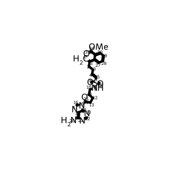 C=C(CC/C=C/S(=O)(=O)NCC1CCC(n2cnc3c(N)ncnc32)O1)c1ccccc1C(=O)OC